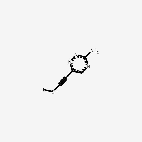 Nc1ncc(C#CSI)nn1